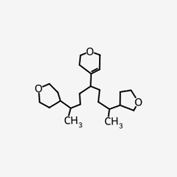 CC(CCC(CCC(C)C1CCOC1)C1=CCOCC1)C1CCOCC1